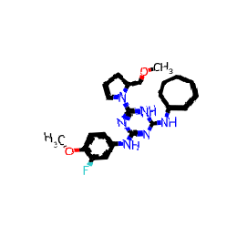 COCC1CCCN1C1=NC(Nc2ccc(OC)c(F)c2)=NC(NC2CCCCCC2)N1